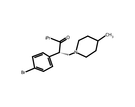 CC1CCN(C[C@@H](C(=O)C(C)C)c2ccc(Br)cc2)CC1